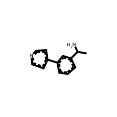 CC(N)c1cccc(-c2ccncc2)c1